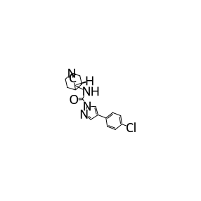 O=C(N[C@H]1CN2CCC1CC2)n1cc(-c2ccc(Cl)cc2)cn1